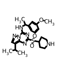 COc1cccc(C(C)Nc2nc(S(=O)(=O)C3CCNCC3)nc3c(C(C)C)cnn23)c1